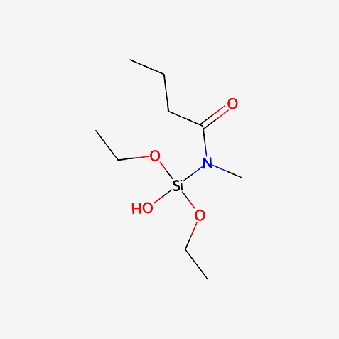 CCCC(=O)N(C)[Si](O)(OCC)OCC